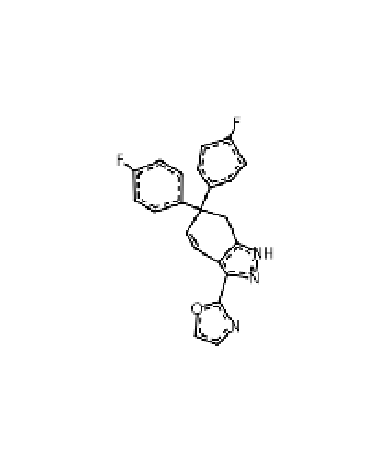 Fc1ccc(C2(c3ccc(F)cc3)C=Cc3c(-c4ncco4)n[nH]c3C2)cc1